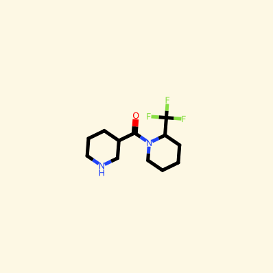 O=C(C1CCCNC1)N1CCCCC1C(F)(F)F